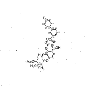 COC1CCC(Oc2ccc3c(O)c(NC(=O)c4cccc(-c5ccc(F)cc5)c4)c(=O)oc3c2C)OC1(C)C